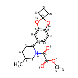 COC(=O)C(=O)N1CC(C)CCC1c1ccc2c(c1)OC1(CCC1)O2